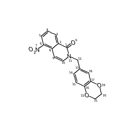 O=c1c2cccc([N+](=O)[O-])c2ccn1Cc1ccc2c(c1)OCCO2